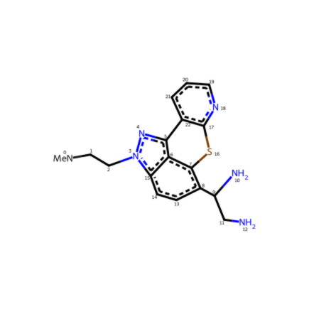 CNCCn1nc2c3c(c(C(N)CN)ccc31)Sc1ncccc1-2